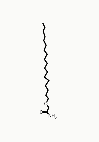 CCCCCCCCCCCCCCCCCCOCC(N)=O